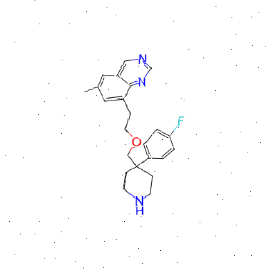 Cc1cc(CCOCC2(c3ccc(F)cc3)CCNCC2)c2ncncc2c1